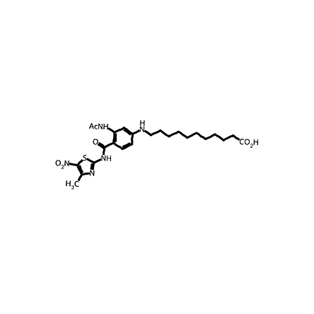 CC(=O)Nc1cc(NCCCCCCCCCCC(=O)O)ccc1C(=O)Nc1nc(C)c([N+](=O)[O-])s1